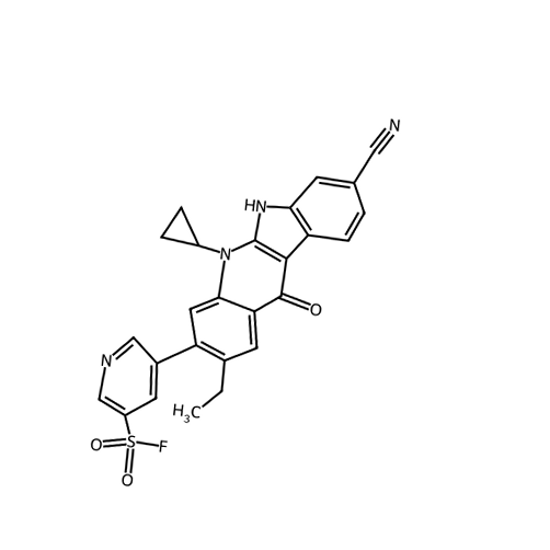 CCc1cc2c(=O)c3c4ccc(C#N)cc4[nH]c3n(C3CC3)c2cc1-c1cncc(S(=O)(=O)F)c1